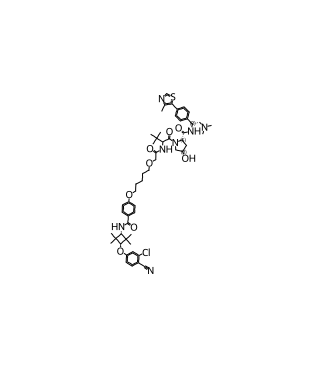 Cc1ncsc1-c1ccc([C@H](CN(C)C)NC(=O)[C@@H]2C[C@@H](O)CN2C(=O)C(NC(=O)COCCCCCOc2ccc(C(=O)N[C@H]3C(C)(C)[C@H](Oc4ccc(C#N)c(Cl)c4)C3(C)C)cc2)C(C)(C)C)cc1